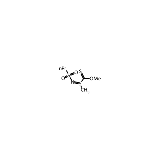 CCCS(=O)(=O)N=S(C)C(=S)OC